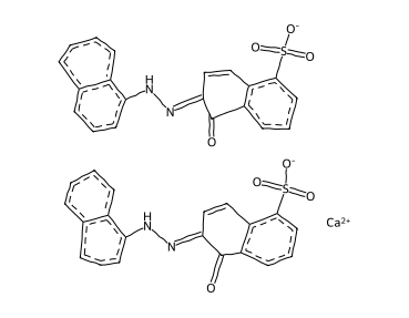 O=C1/C(=N/Nc2cccc3ccccc23)C=Cc2c1cccc2S(=O)(=O)[O-].O=C1/C(=N/Nc2cccc3ccccc23)C=Cc2c1cccc2S(=O)(=O)[O-].[Ca+2]